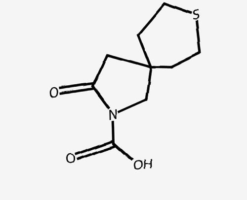 O=C(O)N1CC2(CCSCC2)CC1=O